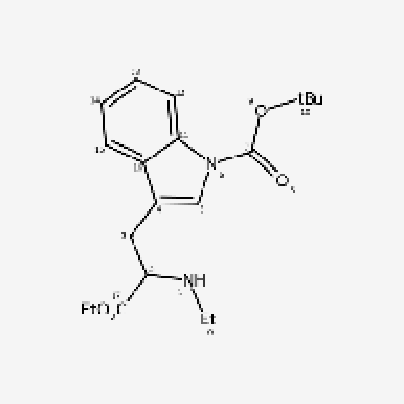 CCNC(Cc1cn(C(=O)OC(C)(C)C)c2ccccc12)C(=O)OCC